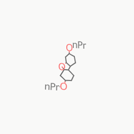 CCCOC1CCC2C(C1)OC1CC(OCCC)CCC12